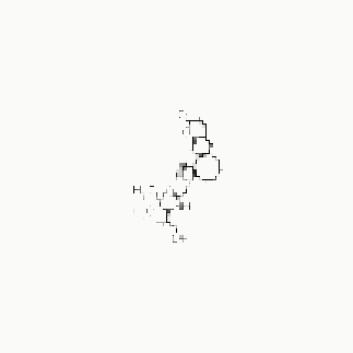 CO[C@@H](C)/C(NC(=O)Cn1nnc2c1CCCCc1cc3ccc(=O)oc3cc1-2)=C(\O)CO